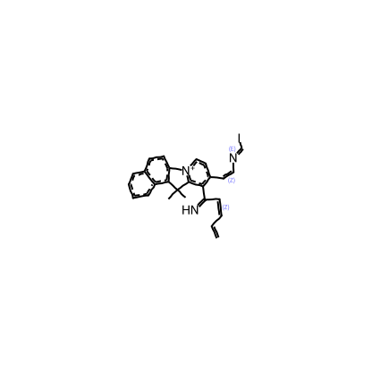 C=C/C=C\C(=N)c1c(/C=C\N=C\I)cc[n+]2c1C(C)(C)c1c-2ccc2ccccc12